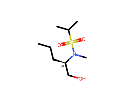 CCC[C@H](CO)N(C)S(=O)(=O)C(C)C